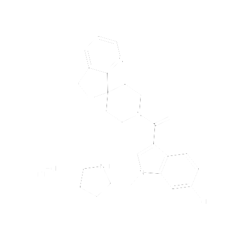 Cl.Cl.O=C(c1cn(C[C@@H]2CCCN2)c2cc(Cl)ccc12)N1CCC2(CC1)OCc1cccnc12